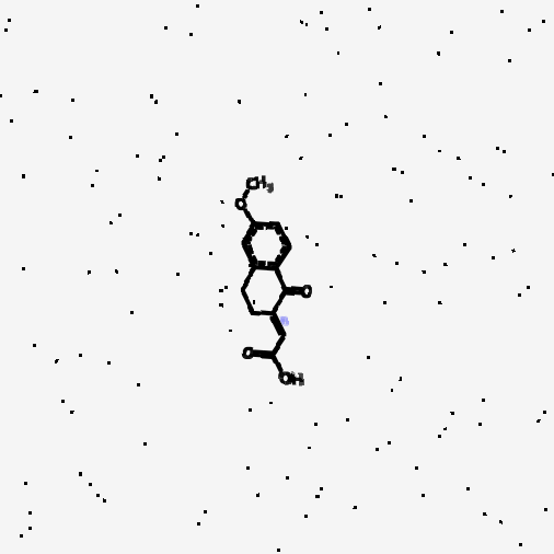 COc1ccc2c(c1)CC/C(=C\C(=O)O)C2=O